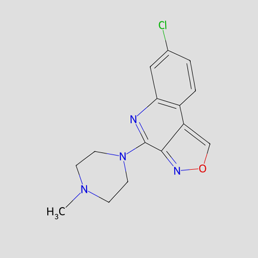 CN1CCN(c2nc3cc(Cl)ccc3c3conc23)CC1